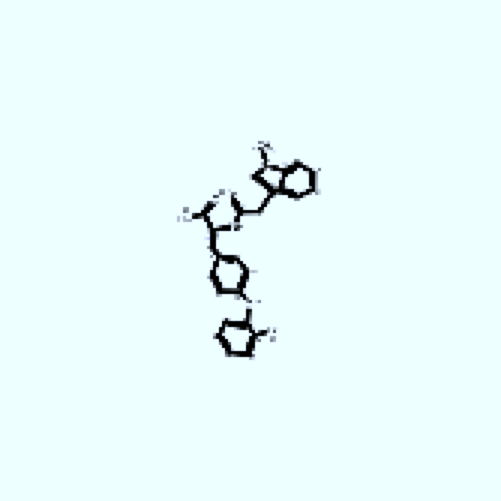 Cn1cc(CC(=O)N/C(=C\c2ccc(Oc3ccccc3Br)cc2)C(=O)O)c2ccccc21